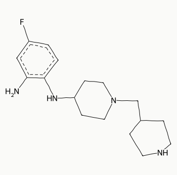 Nc1cc(F)ccc1NC1CCN(CC2CCNCC2)CC1